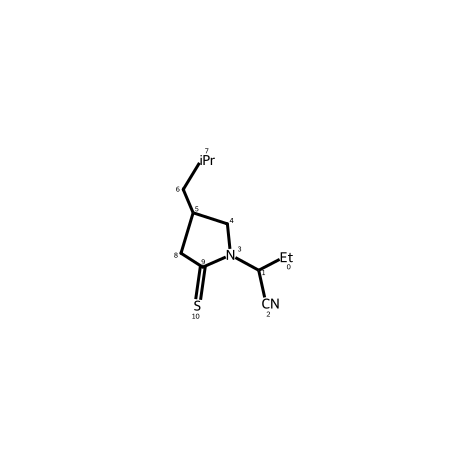 CCC(C#N)N1CC(CC(C)C)CC1=S